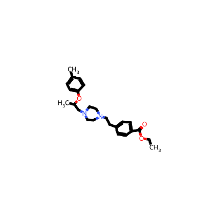 CCOC(=O)c1ccc(CCN2CCN(CC(C)Oc3ccc(C)cc3)CC2)cc1